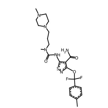 Cc1ccc(C(F)(F)Oc2nsc(NC(=O)N(C)CCCN3CCN(C)CC3)c2C(N)=O)cc1